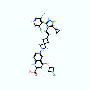 O=C(O)c1cc(O[C@H]2C[C@H](F)C2)c2cc(N3CC4(CC(/C=C/c5c(-c6c(Cl)cncc6Cl)noc5C5CC5)C4)C3)ccc2n1